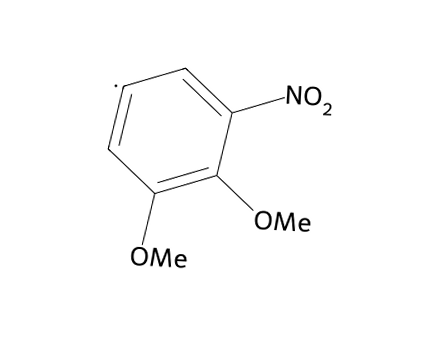 COc1c[c]cc([N+](=O)[O-])c1OC